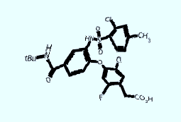 Cc1ccc(S(=O)(=O)Nc2cc(C(=O)NC(C)(C)C)ccc2Oc2cc(F)c(CC(=O)O)cc2Cl)c(Cl)c1